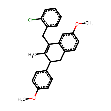 COc1ccc(C2Cc3ccc(OC)cc3C(Cc3ccccc3Cl)=C2C)cc1